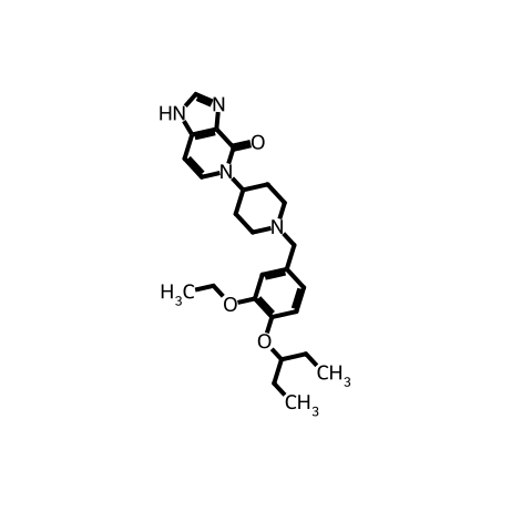 CCOc1cc(CN2CCC(n3ccc4[nH]cnc4c3=O)CC2)ccc1OC(CC)CC